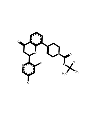 CC(C)(C)OC(=O)N1CC=C(c2cccc3c2OC(c2ncc(Cl)cc2Cl)CC3=O)CC1